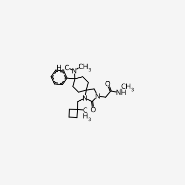 CNC(=O)CN1CC2(CCC(c3ccccc3)(N(C)C)CC2)N(CC2(C)CCC2)C1=O